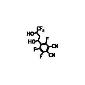 N#Cc1c(F)c(F)c(C(O)CC(O)C(F)(F)F)c(F)c1C#N